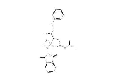 O=C(O)CC1NC(C(=O)OCc2ccccc2)C2(COC2N2C(=O)c3ccccc3C2=O)S1